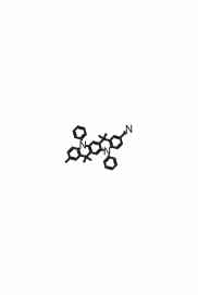 Cc1ccc2c(c1)C(C)(C)c1cc3c(cc1N2c1ccccc1)C(C)(C)c1cc(C#N)ccc1N3c1ccccc1